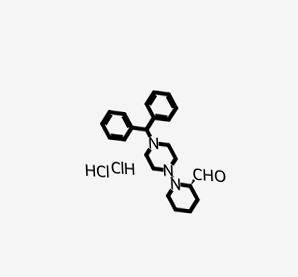 Cl.Cl.O=C[C@@H]1CCCCN1N1CCN(C(c2ccccc2)c2ccccc2)CC1